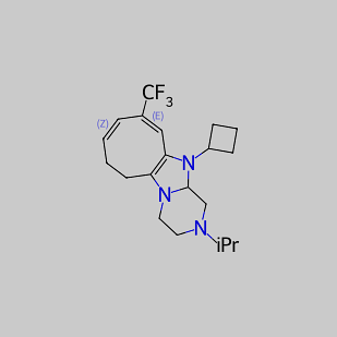 CC(C)N1CCN2C3=C(/C=C(C(F)(F)F)\C=C/CC3)N(C3CCC3)C2C1